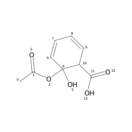 CC(=O)OC1(O)C=CC=CC1C(=O)O